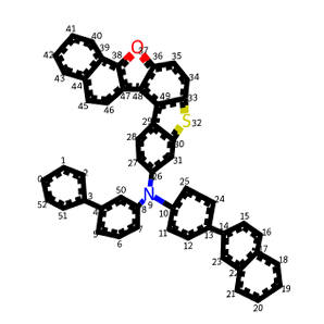 c1ccc(-c2cccc(N(c3ccc(-c4ccc5ccccc5c4)cc3)c3ccc4c(c3)sc3ccc5oc6c7ccccc7ccc6c5c34)c2)cc1